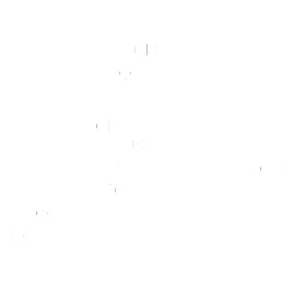 CCCCCC[Si](CC)(OCCOC)OCCOC